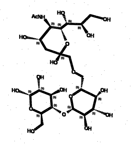 CC(=O)N[C@H]1[C@H]([C@H](O)[C@H](O)CO)O[C@](O)(COC[C@H]2O[C@@H](O[C@H]3[C@H](O)[C@@H](O)[C@@H](O)O[C@@H]3CO)[C@H](O)[C@@H](O)[C@H]2O)C[C@@H]1O